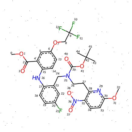 COC(=O)c1cc(OCC(F)(F)F)ccc1Nc1ccc(F)cc1CN(CCc1nc(OC)ccc1[N+](=O)[O-])C(=O)OC(C)(C)C